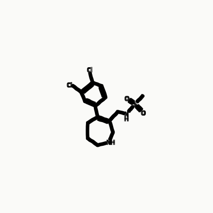 CS(=O)(=O)NCC1=C(c2ccc(Cl)c(Cl)c2)CCCNC1